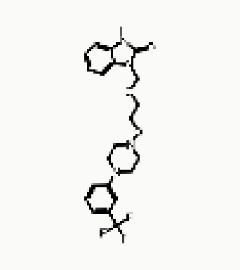 O=c1[nH]c2ccccc2n1COCCON1CCN(c2cccc(C(F)(F)F)c2)CC1